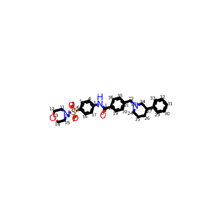 O=C(Nc1ccc(S(=O)(=O)N2CCOCC2)cc1)c1ccc(CN2CCCC(c3ccccc3)C2)cc1